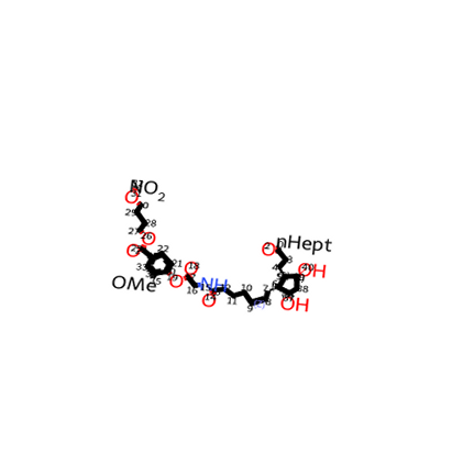 CCCCCCCC(=O)CC[C@@H]1[C@@H](C/C=C\CCCC(=O)NCC(=O)Oc2ccc(C(=O)OCCCCO[N+](=O)[O-])cc2OC)[C@@H](O)C[C@H]1O